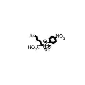 CC(=O)/C=C/C[C@@H](C(=O)O)N(C(C)C)S(=O)(=O)c1ccc([N+](=O)[O-])cc1